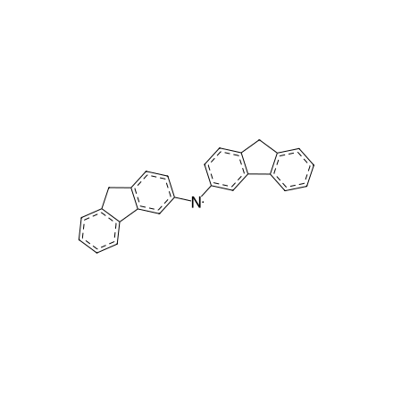 c1ccc2c(c1)Cc1ccc([N]c3ccc4c(c3)-c3ccccc3C4)cc1-2